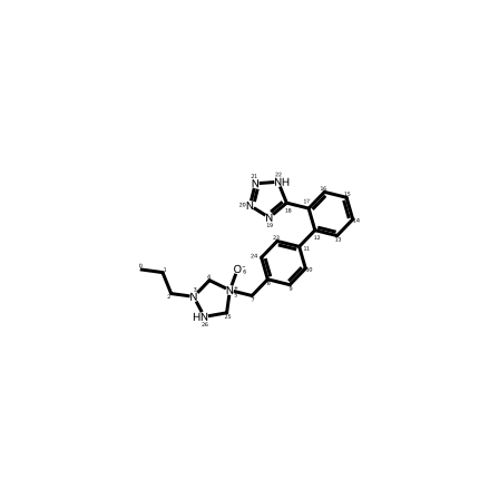 CCCN1C[N+]([O-])(Cc2ccc(-c3ccccc3-c3nnn[nH]3)cc2)CN1